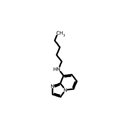 CCCCCNc1cccn2ccnc12